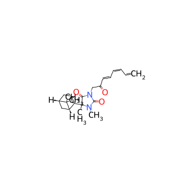 C=C/C=C\C=C\C(=O)CN1C(=O)N(C)C(C)(C2=CC[C@H]3C[C@@H]2C3(C)C)C1=O